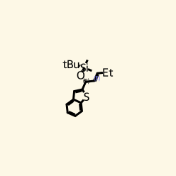 CC/C=C/[C@@H](O[Si](C)(C)C(C)(C)C)c1cc2ccccc2s1